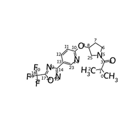 CC(C)C(=O)N1CCC(Oc2ccc(-c3noc(C(F)(F)F)n3)cn2)C1